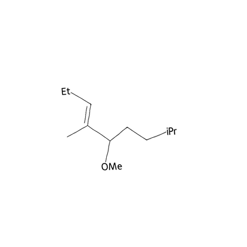 CC/C=C(\C)C(CCC(C)C)OC